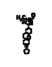 CC1CC1/C(=N\NC=O)c1ccc2c(c1)CCC1(CCN(C3CCCC3)CC1)O2